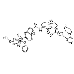 CCCOC(=O)[C@H](C)N[P@](=O)(Oc1ccccc1)[C@@H](F)c1ccc2sc(C(=O)N[C@H]3CCC[C@H]4CC[C@@H](C(=O)N5CC(c6cnccc6N6CCOCC6)C5)N4C3=O)cc2c1